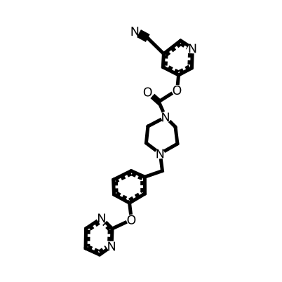 N#Cc1cncc(OC(=O)N2CCN(Cc3cccc(Oc4ncccn4)c3)CC2)c1